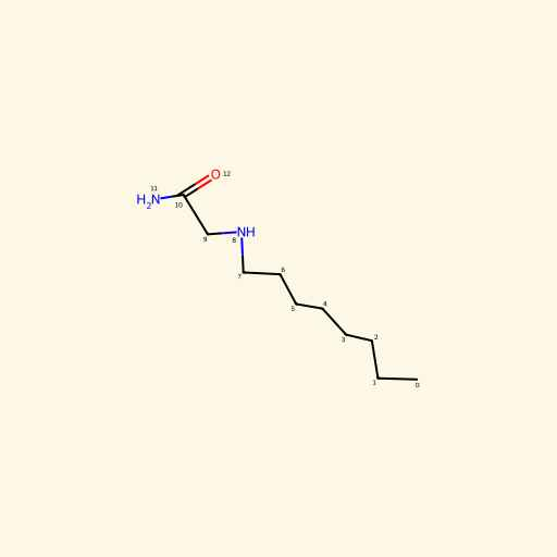 CCCCCCCCNCC(N)=O